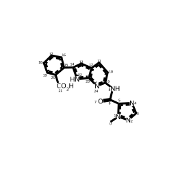 Cn1ncnc1C(=O)Nc1ccc2cc(-c3ccccc3C(=O)O)[nH]c2n1